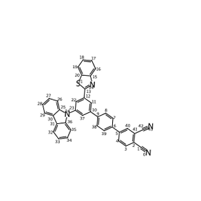 N#Cc1ccc(-c2ccc(-c3cc(-c4nc5ccccc5s4)cc(-n4c5ccccc5c5ccccc54)c3)cc2)cc1C#N